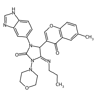 CCCN=C1C(c2coc3ccc(C)cc3c2=O)N(c2ccc3[nH]cnc3c2)C(=O)N1N1CCOCC1